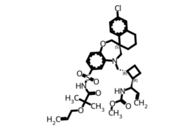 C=CCOC(C)(C)C(=O)NS(=O)(=O)c1ccc2c(c1)N(C[C@@H]1CC[C@H]1C(C=C)NC(=O)OC)C[C@@]1(CCCc3cc(Cl)ccc31)CO2